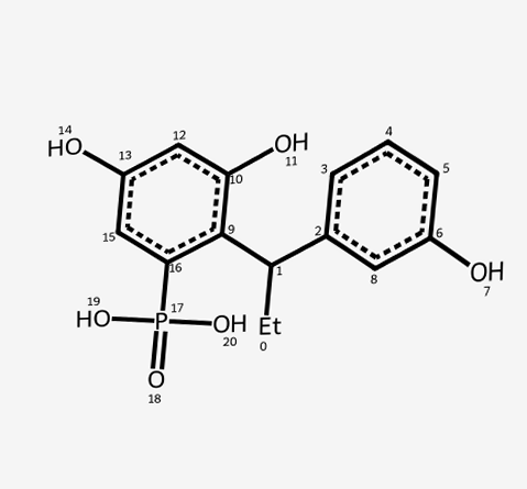 CCC(c1cccc(O)c1)c1c(O)cc(O)cc1P(=O)(O)O